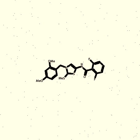 COc1ccc(CN2C=C(NC(=O)c3c(F)cccc3F)SC2SC)c(OC)c1